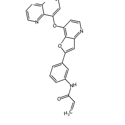 C=CC(=O)Nc1cccc(-c2cc3nccc(Oc4cccc5cccnc45)c3o2)c1